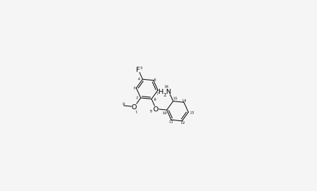 COc1cc(F)ccc1OC1=CC=CCC1N